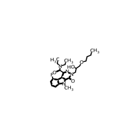 CCCCOCC(O)Cn1nc(C(=O)N(CC)CC)c2c3c(F)cccc3n(C)c2c1=O